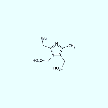 Cc1nc(CC(C)(C)C)n(CC(=O)O)c1CC(=O)O